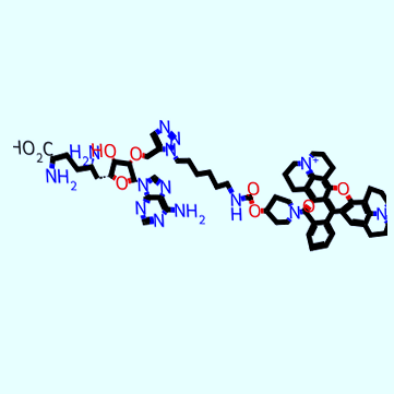 Nc1ncnc2c1ncn2[C@@H]1O[C@H](C[C@@H](N)CC[C@H](N)C(=O)O)[C@@H](O)[C@H]1OCc1cnnn1CCCCCCNC(=O)OC1CCN(C(=O)c2ccccc2C2=c3cc4c5c(c3Oc3c2cc2c6c3CCCN6CCC2)CCC[N+]=5CCC4)CC1